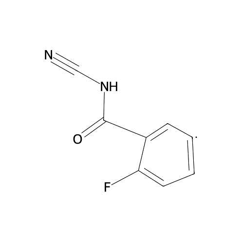 N#CNC(=O)c1c[c]ccc1F